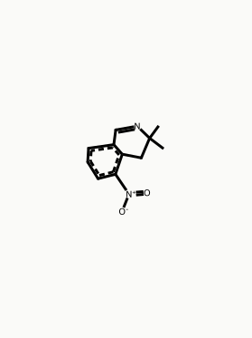 CC1(C)Cc2c(cccc2[N+](=O)[O-])C=N1